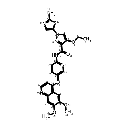 CCOc1cn(-c2cnc(N)s2)nc1C(=O)Nc1ccc(Oc2ccnc3cc(OC)c(OC)cc23)cn1